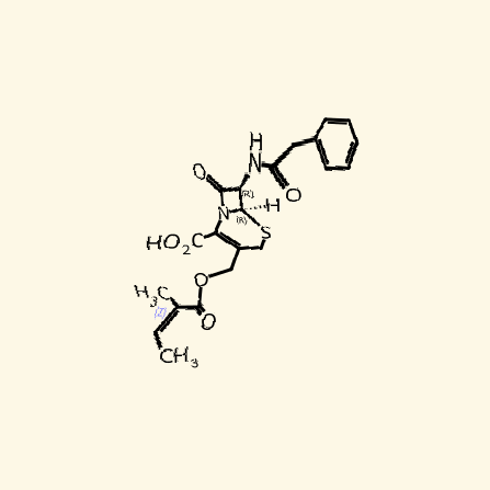 C/C=C(/C)C(=O)OCC1=C(C(=O)O)N2C(=O)[C@@H](NC(=O)Cc3ccccc3)[C@H]2SC1